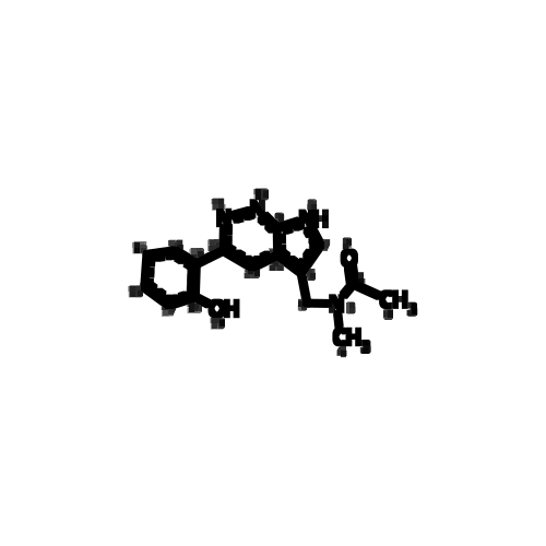 CC(=O)N(C)Cc1c[nH]c2nnc(-c3ccccc3O)cc12